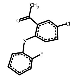 CC(=O)c1cc(Cl)ccc1Sc1ccccc1F